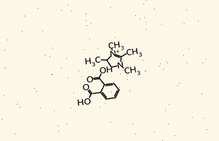 CC1=[N+](C)C(C)CN1C.O=C(O)c1ccccc1C(=O)O